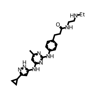 CCNCCNC(=O)CCc1ccc(Nc2nc(C)cc(Nc3cc(C4CC4)n[nH]3)n2)cc1